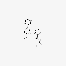 CC=Cc1cnc(-c2cc(Cl)ccc2F)cc1Nc1ccncc1C(=O)NC(C)CO